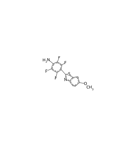 COc1ccc2nc(-c3c(F)c(F)c(N)c(F)c3F)sc2c1